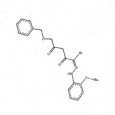 CC(=O)C(=NNc1ccccc1OC(C)(C)C)C(=O)CC(=O)COCc1ccccc1